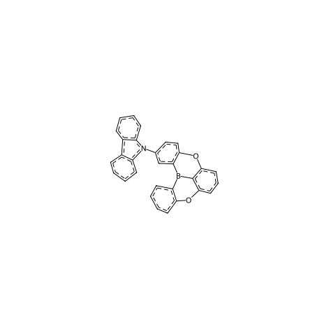 c1ccc2c(c1)Oc1cccc3c1B2c1cc(-n2c4ccccc4c4ccccc42)ccc1O3